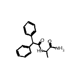 CC(NC(=O)C(c1ccccc1)c1ccccc1)C(N)=O